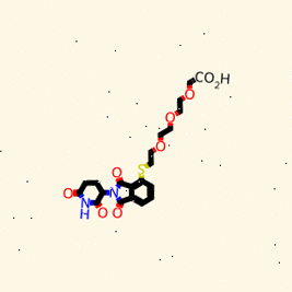 O=C(O)COCCOCCOCCSc1cccc2c1C(=O)N(C1CCC(=O)NC1=O)C2=O